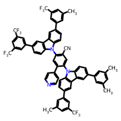 Cc1cc(C)cc(-c2ccc3c(c2)c2cc(-c4cc(C)cc(C(F)(F)F)c4)ccc2n3-c2cc(C#N)c(-n3c4ccc(-c5cc(C)cc(C(F)(F)F)c5)cc4c4cc(-c5cc(C(F)(F)F)cc(C(F)(F)F)c5)ccc43)cc2-c2ccncc2)c1